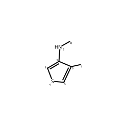 CNc1cscc1C